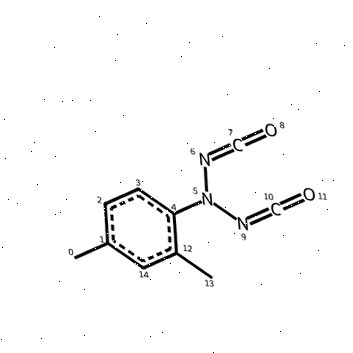 Cc1ccc(N(N=C=O)N=C=O)c(C)c1